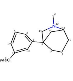 COc1cccc(C23CCCC(C2)N(C)C3)c1